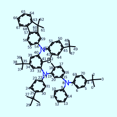 CC(C)(C)c1ccc(N(c2ccccc2)c2ccc3c(c2)N(c2ccc(C(C)(C)C)cc2)c2cc(C(C)(C)C)cc4c2B3c2cc(C(C)(C)C)ccc2N4c2ccc3c(c2)C(C)(C)c2ccccc2-3)cc1